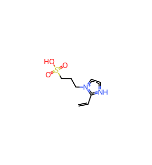 C=Cc1[nH]cc[n+]1CCCS(=O)(=O)O